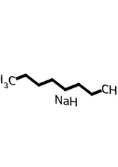 [CH2]CCCCCCC.[NaH]